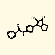 O=C(Nc1ccc(C2=C(Br)C(=O)C3CCCC23)cc1)c1ccccc1